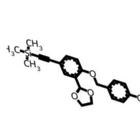 COc1ccc(COc2ccc(C#C[Si](C)(C)C)cc2C2OCCO2)cc1